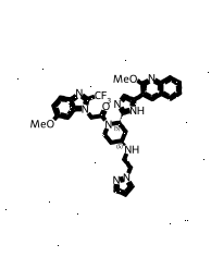 COc1ccc2nc(C(F)(F)F)n(CC(=O)N3CC[C@H](NCCn4cccn4)C[C@H]3c3ncc(-c4cc5ccccc5nc4OC)[nH]3)c2c1